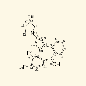 OC1c2ccccc2-c2sc(N3CC[C@H](F)C3)cc2-c2c1ccc(F)c2F